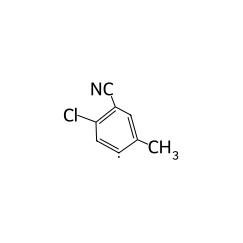 Cc1[c]cc(Cl)c(C#N)c1